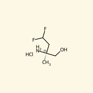 C[C@@](N)(CO)CC(F)F.Cl